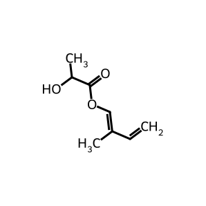 C=CC(C)=COC(=O)C(C)O